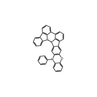 c1ccc(N2c3ccccc3Oc3cc4c(cc32)B2c3c-4cccc3-c3cccc4c5ccccc5n2c34)cc1